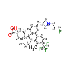 Cc1c(C2=C(c3ccc(CC4CN(CCCF)C4)cc3)c3ccc(C(=O)O)cc3CCC2)cccc1C(F)(F)F